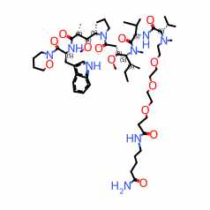 CC[C@H](C)[C@@H]([C@@H](CC(=O)N1CCC[C@H]1[C@H](OC)[C@@H](C)C(=O)N[C@@H](Cc1c[nH]c2ccccc12)C(=O)N1CCCCO1)OC)N(C)C(=O)[C@@H](NC(=O)[C@H](C(C)C)N(C)CCOCCOCCOCCC(=O)NCCCCC(N)=O)C(C)C